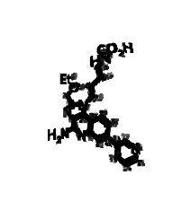 CCOCc1nc2c(N)nc3cc(-c4cccnc4)ccc3c2n1CCCCNC(=O)O